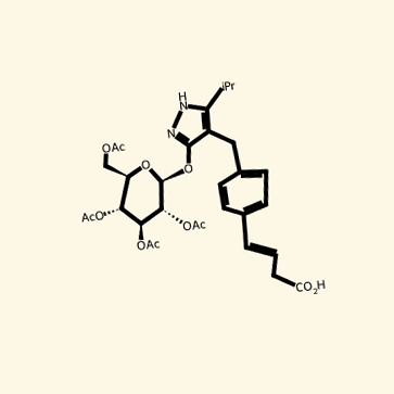 CC(=O)OC[C@H]1O[C@@H](Oc2n[nH]c(C(C)C)c2Cc2ccc(/C=C/CC(=O)O)cc2)[C@H](OC(C)=O)[C@@H](OC(C)=O)[C@@H]1OC(C)=O